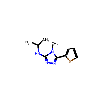 CC(C)Nc1nnc(-c2cccs2)n1C